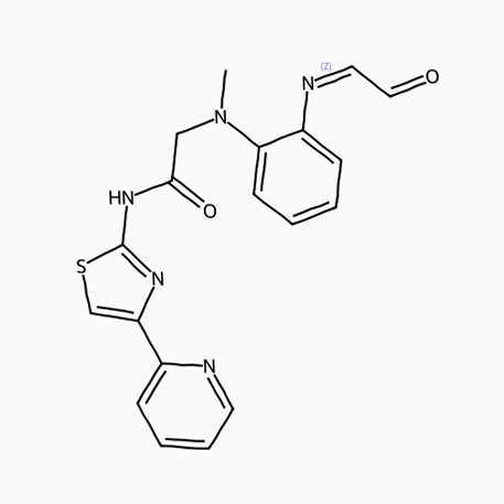 CN(CC(=O)Nc1nc(-c2ccccn2)cs1)c1ccccc1/N=C\C=O